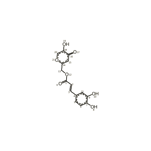 O=C(C=Cc1ccc(O)c(O)c1)OCc1cc(=O)c(O)co1